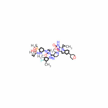 CCP(=O)(CC)c1ccc(-n2ccn(-c3c4c(nn3-c3cc(C)c(F)c(C)c3)CCN(C(=O)c3cc5cc(C6CCOCC6)ccc5n3[C@@]3(c5noc(=O)[nH]5)C[C@@H]3C)[C@H]4C)c2=O)cc1NC(O)C1CC1